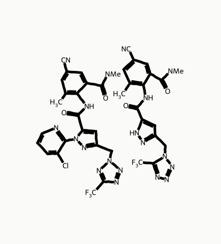 CNC(=O)c1cc(C#N)cc(C)c1NC(=O)c1cc(Cn2nnc(C(F)(F)F)n2)nn1-c1ncccc1Cl.CNC(=O)c1cc(C#N)cc(C)c1NC(=O)c1cc(Cn2nnnc2C(F)(F)F)n[nH]1